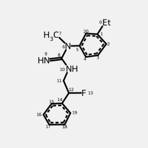 CCc1cccc(N(C)C(=N)NCC(F)c2ccccc2)c1